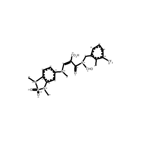 Cc1c(CN(C=O)C(=O)/C(=C\N(C)c2ccc3c(c2)N(C)S(=O)(=O)N3C)C(=O)O)cccc1C(F)(F)F